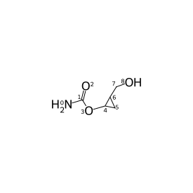 NC(=O)OC1CC1CO